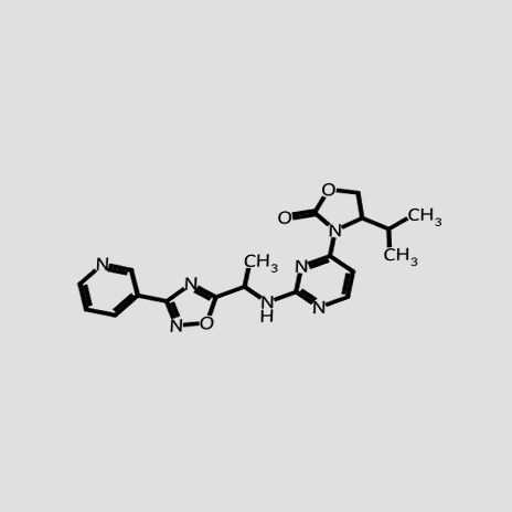 CC(Nc1nccc(N2C(=O)OCC2C(C)C)n1)c1nc(-c2cccnc2)no1